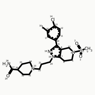 CS(=O)(=O)N1CCc2c(c(-c3ccc(Cl)c(I)c3)nn2CCCN2CCC(C(N)=O)CC2)C1